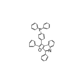 c1ccc(-c2oc3c(-c4ccccc4)nc4ccccc4c3c2-c2ccc(P(c3ccccc3)c3ccccc3)cc2)cc1